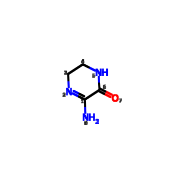 NC1=NCCNC1=O